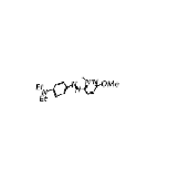 CCN(CC)c1ccc(/N=N/c2ccc(OC)n[n+]2C)cc1